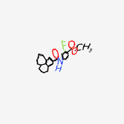 COC(=O)c1ccc(NC(=O)c2cc3c4c(c2)CCCCC4CCCC3)cc1F